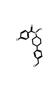 CC(C)N(C(=O)c1ccc(Cl)cc1)C1CCC(c2ccc(CCl)cc2)CC1